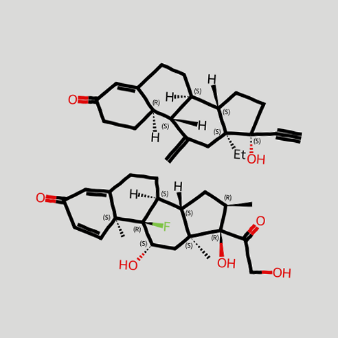 C#C[C@]1(O)CC[C@H]2[C@@H]3CCC4=CC(=O)CC[C@@H]4[C@H]3C(=C)C[C@@]21CC.C[C@@H]1C[C@H]2[C@@H]3CCC4=CC(=O)C=C[C@]4(C)[C@@]3(F)[C@@H](O)C[C@]2(C)[C@@]1(O)C(=O)CO